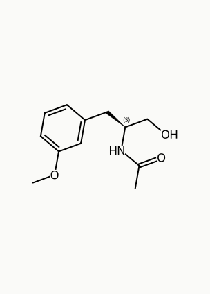 COc1cccc(C[C@@H](CO)NC(C)=O)c1